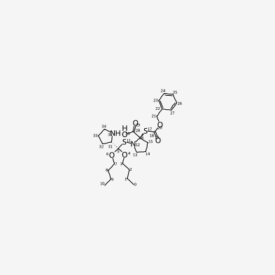 CCCCOC(OCCCC)(SN1CCC[C@@]1(SC(=O)OCc1ccccc1)C(=O)O)[C@@H]1CCCN1